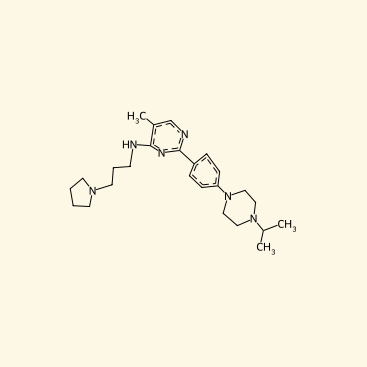 Cc1cnc(-c2ccc(N3CCN(C(C)C)CC3)cc2)nc1NCCCN1CCCC1